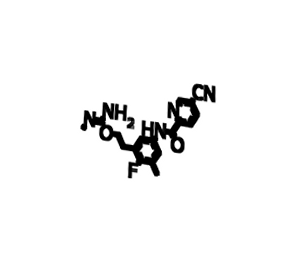 C/N=C(/N)OCCc1cc(NC(=O)c2ccc(C#N)cn2)cc(C)c1F